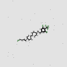 FCCC=C[C@H]1CC[C@H]([C@H]2CC[C@H](CCc3cc(F)c(C(F)(F)F)c(F)c3)CC2)CC1